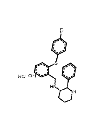 Cl.Cl.Clc1ccc(Sc2ccccc2CN[C@@H]2CCCN[C@@H]2c2ccccc2)cc1